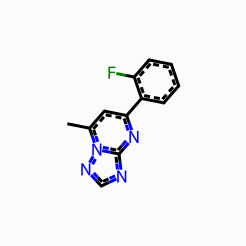 Cc1cc(-c2ccccc2F)nc2ncnn12